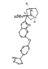 CC(=O)N[C@H]1C[C@H]2CC[C@@H](C1)N2Cc1cc2ccc(Oc3ccc(-c4ccn[nH]4)cc3)cc2o1